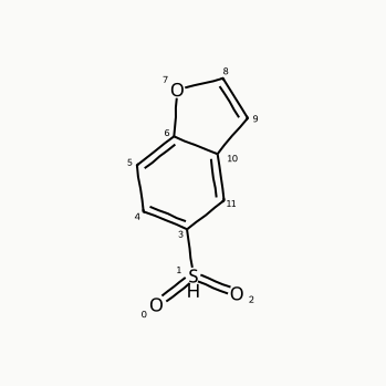 O=[SH](=O)c1ccc2occc2c1